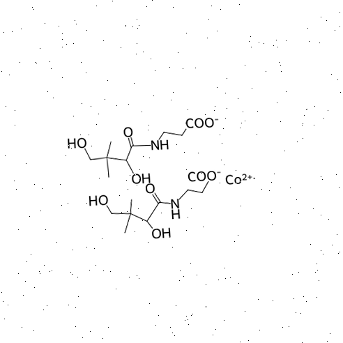 CC(C)(CO)C(O)C(=O)NCCC(=O)[O-].CC(C)(CO)C(O)C(=O)NCCC(=O)[O-].[Co+2]